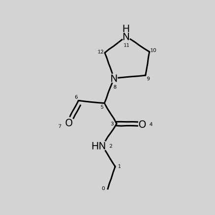 CCNC(=O)C(C=O)N1CCNC1